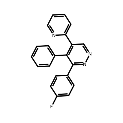 Fc1ccc(-c2nncc(-c3ccccn3)c2-c2ccccc2)cc1